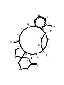 O=C1COCC2(CCN3C(=O)CCOc4cccc(F)c4[C@H]4CC[C@H](CC4)OCC32)N1